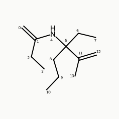 C=C(CC)NC(CC)(CCC)C(=C)C